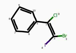 ClC(=C(Br)I)c1ccccc1